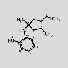 CCCCC(C)(CCC)Nc1ccccc1O